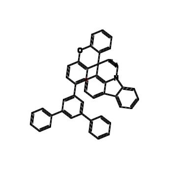 c1ccc(-c2cc(-c3ccccc3)cc(-c3ccc4c(c3)C3(c5ccccc5O4)c4ccccc4-n4c5ccccc5c5cccc3c54)c2)cc1